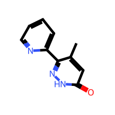 Cc1cc(=O)[nH]nc1-c1ccccn1